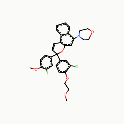 COCCOc1ccc(C2(c3ccc(OC)c(F)c3)C=Cc3c(cc(N4CCOCC4)c4ccccc34)O2)cc1Cl